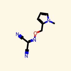 Cn1cccc1CON=C(C#N)C#N